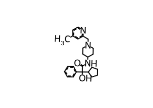 Cc1ccnc(CN2CCC(NC(=O)C(O)(c3ccccc3)C3CCCC3)CC2)c1